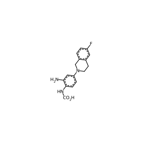 Nc1cc(N2CCc3cc(F)ccc3C2)ccc1NC(=O)O